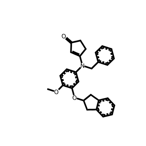 COc1ccc(N(Cc2ccccc2)C2=CC(=O)CC2)cc1OC1Cc2ccccc2C1